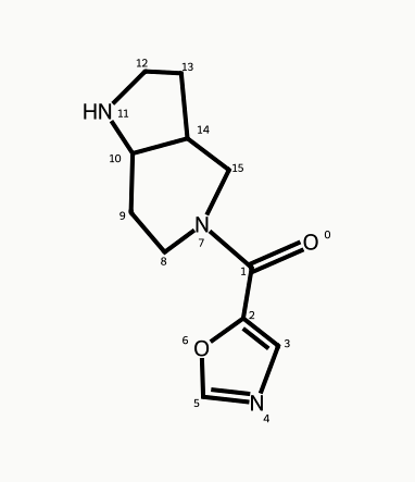 O=C(c1cnco1)N1CCC2NCCC2C1